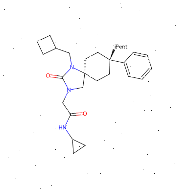 CCCC(C)[C@]1(c2ccccc2)CC[C@]2(CC1)CN(CC(=O)NC1CC1)C(=O)N2CC1CCC1